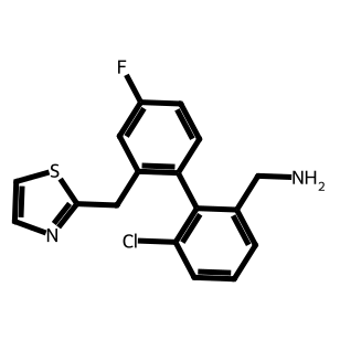 NCc1cccc(Cl)c1-c1ccc(F)cc1Cc1nccs1